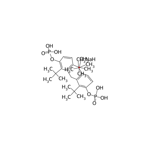 CC(C)(C)c1ccc(OP(=O)(O)O)c(C(C)(C)C)c1Cc1c(C(C)(C)C)ccc(OP(=O)(O)O)c1C(C)(C)C.[NaH]